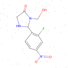 O=C1CNC(c2ccc([N+](=O)[O-])cc2F)N1CO